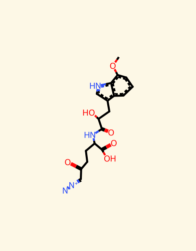 COc1cccc2c(CC(O)C(=O)NC(CCC(=O)C=[N+]=[N-])C(=O)O)c[nH]c12